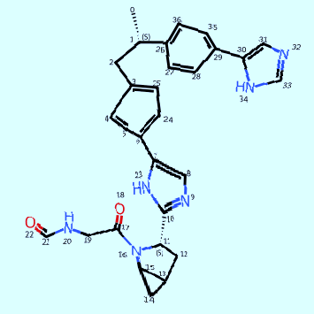 C[C@@H](Cc1ccc(-c2cnc([C@@H]3CC4CC4N3C(=O)CNC=O)[nH]2)cc1)c1ccc(-c2cnc[nH]2)cc1